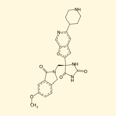 COc1ccc2c(c1)C(=O)N(C[C@@]1(c3cc4cc(C5CCNCC5)ncc4o3)NC(=O)NC1=O)C2